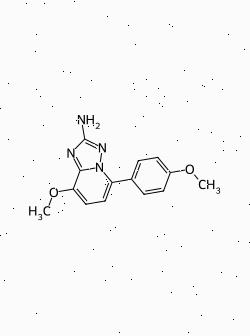 COc1ccc(-c2ccc(OC)c3nc(N)nn23)cc1